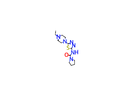 CCN1CCN(c2nnc(NC(=O)N3CCCC3)s2)CC1